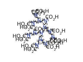 O=C(O)CN(CCN(CCN(CCN(CCN(CC(=O)O)CC(=O)O)CCN(CC(=O)O)CC(=O)O)CCN(CCN(CC(=O)O)CC(=O)O)CC(=O)O)CCN(CCN(CC(=O)O)CC(=O)O)CC(=O)O)CCN(CCN(CC(=O)O)CC(=O)O)CCN(CC(=O)O)CC(=O)O